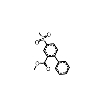 COC(=O)c1cc(S(C)(=O)=O)ccc1-c1ccccc1